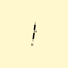 I[IH]I.[B]